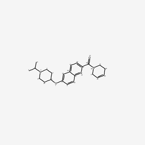 CC(C)N1CCC(Oc2ccc3nc(C(=O)N4CC=CCC4)ccc3c2)CC1